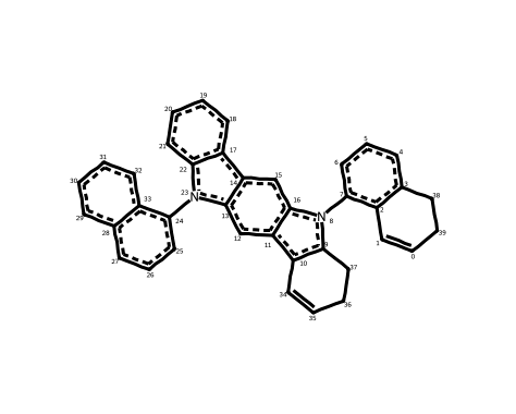 C1=Cc2c(cccc2-n2c3c(c4cc5c(cc42)c2ccccc2n5-c2cccc4ccccc24)C=CCC3)CC1